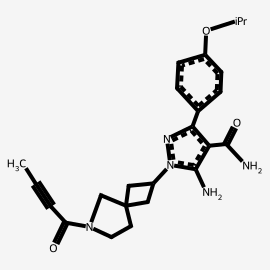 CC#CC(=O)N1CCC2(CC(n3nc(-c4ccc(OC(C)C)cc4)c(C(N)=O)c3N)C2)C1